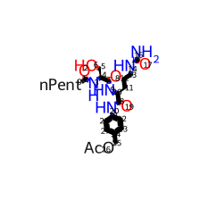 CCCCCC(=O)N[C@@H](CO)C(=O)N[C@@H](CCCNC(N)=O)C(=O)Nc1ccc(COC(C)=O)cc1